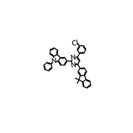 CC1(C)c2ccccc2-c2ccc(-c3cc(-c4cccc(Cl)c4)nc(-c4ccc5c(c4)c4ccccc4n5-c4ccccc4)n3)cc21